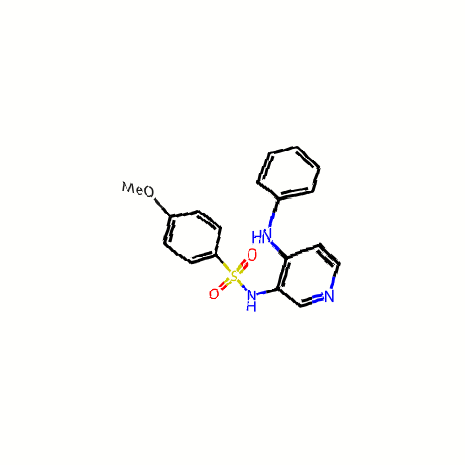 COc1ccc(S(=O)(=O)Nc2cnccc2Nc2ccccc2)cc1